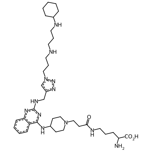 NC(CCCNC(=O)CCN1CCC(Nc2nc(NCc3cn(CCCNCCCNC4CCCCC4)nn3)nc3ccccc23)CC1)C(=O)O